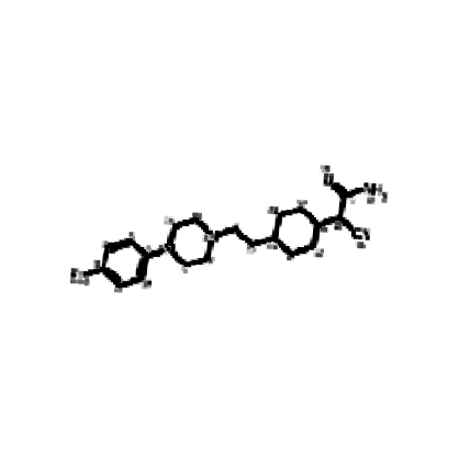 CCc1ccc(N2CCN(CCC3CCC(C(C#N)C(N)=O)CC3)CC2)cc1